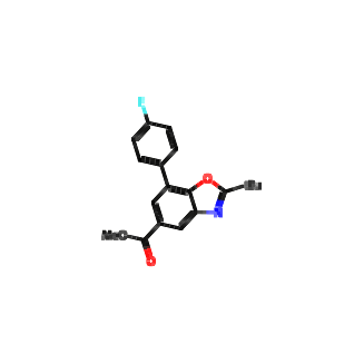 COC(=O)c1cc(-c2ccc(F)cc2)c2oc(C(C)(C)C)nc2c1